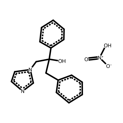 O=[N+]([O-])O.OC(Cc1ccccc1)(Cn1ccnc1)c1ccccc1